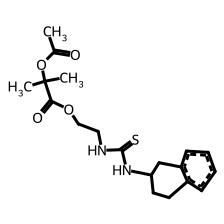 CC(=O)OC(C)(C)C(=O)OCCNC(=S)NC1CCc2ccccc2C1